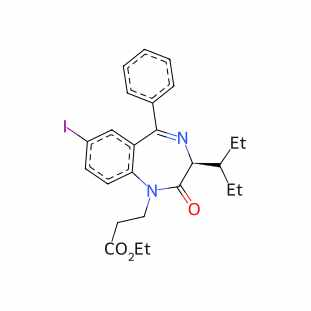 CCOC(=O)CCN1C(=O)[C@H](C(CC)CC)N=C(c2ccccc2)c2cc(I)ccc21